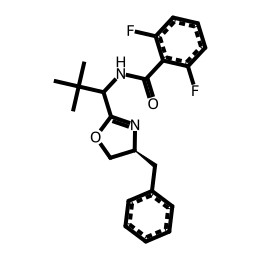 CC(C)(C)C(NC(=O)c1c(F)cccc1F)C1=N[C@@H](Cc2ccccc2)CO1